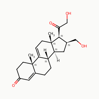 C[C@]12CCC(=O)C=C1CC[C@@H]1C2=CC[C@@]2(C)[C@H]1C[C@H](CO)[C@@H]2C(=O)CO